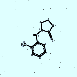 O=C1OCCN1Nc1ccccc1C(F)(F)F